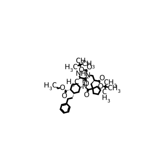 CCOC(=O)[C@@H]1CC[C@H](NC(=O)C2(C[C@@H](CN(C(=O)OC(C)(C)C)C(=O)[C@@H](C)N)C(=O)OC(C)(C)C)CCCC2)C[C@@H]1CCc1ccccc1